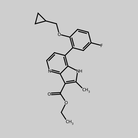 CCOC(=O)c1c(C)[nH]c2c(-c3cc(F)ccc3OCC3CC3)ccnc12